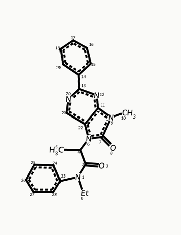 CCN(C(=O)C(C)n1c(=O)n(C)c2nc(-c3ccccc3)ncc21)c1ccccc1